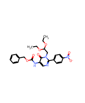 CCOC(Cn1c(-c2ccc([N+](=O)[O-])cc2)ncc(NC(=O)OCc2ccccc2)c1=O)OCC